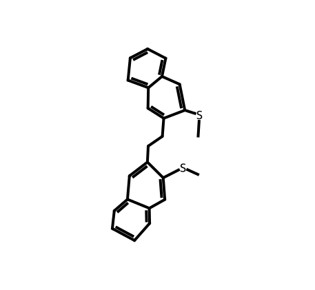 CSc1cc2ccccc2cc1CCc1cc2ccccc2cc1SC